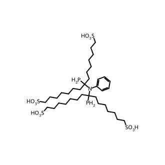 O=S(=O)(O)CCCCCCCC(P)(CCCCCCCS(=O)(=O)O)N(c1ccccc1)C(P)(CCCCCCCS(=O)(=O)O)CCCCCCCS(=O)(=O)O